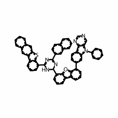 c1ccc(-n2c3cc(-c4cccc5c4oc4c(C6N=C(c7ccc8ccccc8c7)N=C(c7cccc8c7sc7cc9ccccc9cc78)N6)cccc45)ccc3c3ncncc32)cc1